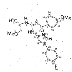 COC[C@H](C)N/C(=N/C(=O)c1ccc(OC)nc1)Nc1cc(-c2ccc(F)cc2)[nH]n1